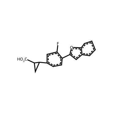 O=C(O)C1CC1c1ccc(-c2cc3ccccc3o2)c(F)c1